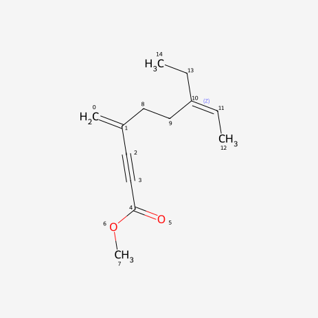 C=C(C#CC(=O)OC)CC/C(=C\C)CC